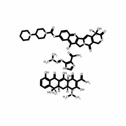 CCc1c2c(nc3ccc(OC(=O)N4CCC(N5CCCCC5)CC4)cc13)-c1cc3c(c(=O)n1C2)COC(=O)[C@]3(O)CC.CN(C)/N=N/c1[nH]cnc1C(N)=O.CN(C)[C@@H]1C(O)=C(C(N)=O)C(=O)[C@@]2(O)C(O)=C3C(=O)c4c(O)cccc4[C@@](C)(O)[C@H]3C[C@@H]12